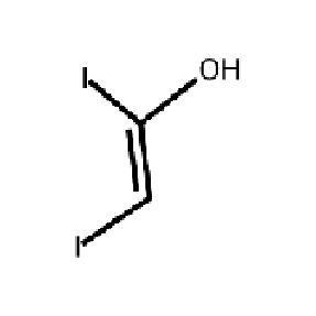 OC(I)=CI